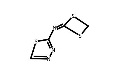 c1nnc(N=C2SCS2)s1